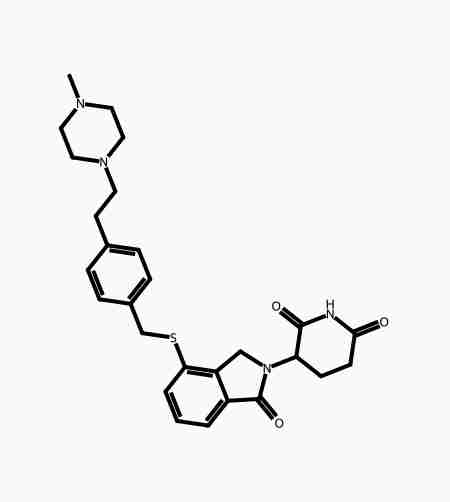 CN1CCN(CCc2ccc(CSc3cccc4c3CN(C3CCC(=O)NC3=O)C4=O)cc2)CC1